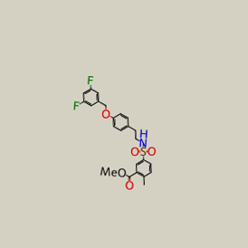 COC(=O)c1cc(S(=O)(=O)NCCc2ccc(OCc3cc(F)cc(F)c3)cc2)ccc1C